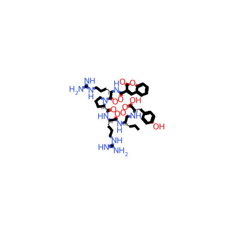 CCC[C@H](NC(=O)[C@H](CCCNC(=N)N)NC(=O)[C@@H]1CCCN1C(=O)[C@H](CCCNC(=N)N)NC(=O)c1cc2ccccc2oc1=O)C(=O)N[C@@H](Cc1ccc(O)cc1)C(=O)O